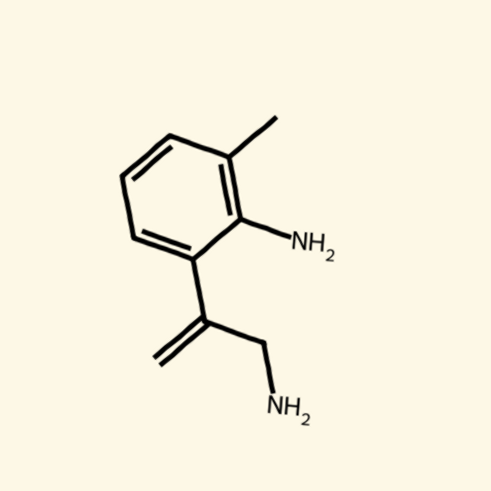 C=C(CN)c1cccc(C)c1N